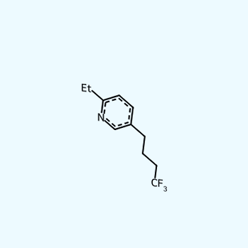 CCc1ccc(CCCC(F)(F)F)cn1